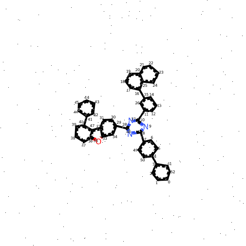 c1ccc(-c2ccc(-c3nc(-c4cccc(-c5cccc6ccccc56)c4)nc(-c4ccc5c(c4)oc4cccc(-c6ccccc6)c45)n3)cc2)cc1